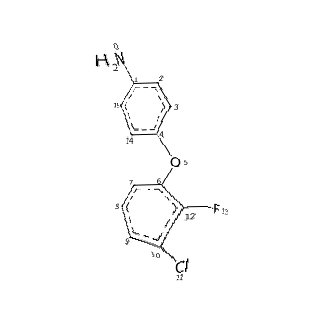 Nc1ccc(Oc2cccc(Cl)c2F)cc1